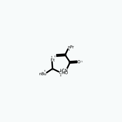 C=C(CCC)C(N)=O.CCCCC(C=O)CC